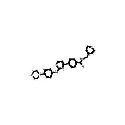 O=C(NCc1ccncc1)c1ccc(-c2ccnc(Nc3ccc(N4CCOCC4)cc3)n2)cc1